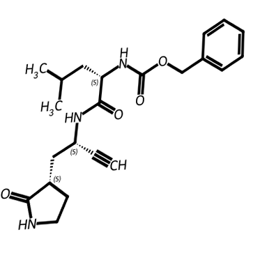 C#C[C@H](C[C@@H]1CCNC1=O)NC(=O)[C@H](CC(C)C)NC(=O)OCc1ccccc1